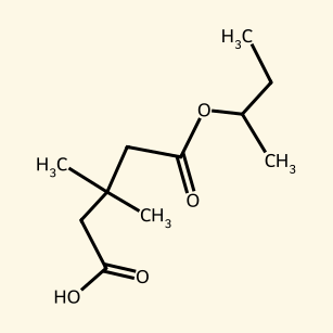 CCC(C)OC(=O)CC(C)(C)CC(=O)O